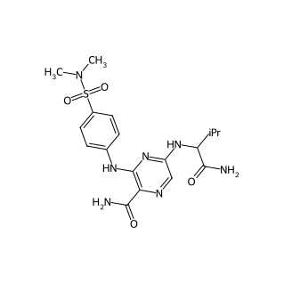 CC(C)C(Nc1cnc(C(N)=O)c(Nc2ccc(S(=O)(=O)N(C)C)cc2)n1)C(N)=O